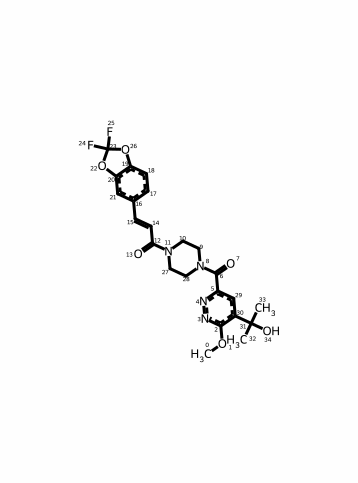 COc1nnc(C(=O)N2CCN(C(=O)/C=C/c3ccc4c(c3)OC(F)(F)O4)CC2)cc1C(C)(C)O